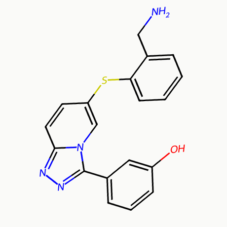 NCc1ccccc1Sc1ccc2nnc(-c3cccc(O)c3)n2c1